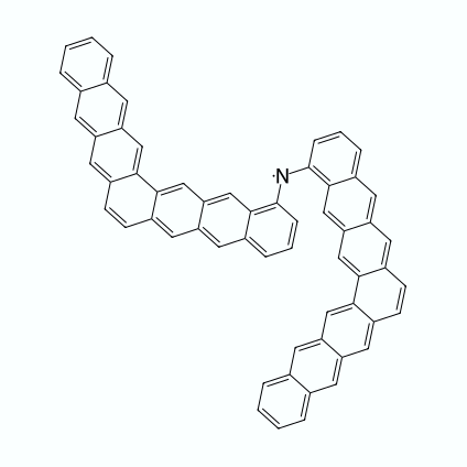 c1ccc2cc3cc4c(ccc5cc6cc7cccc([N]c8cccc9cc%10cc%11ccc%12cc%13cc%14ccccc%14cc%13cc%12c%11cc%10cc89)c7cc6cc54)cc3cc2c1